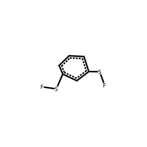 FSc1[c]ccc(SF)c1